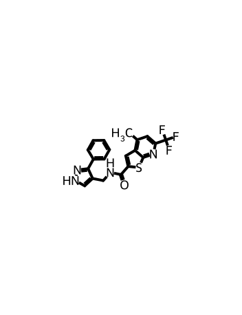 Cc1cc(C(F)(F)F)nc2sc(C(=O)NCc3c[nH]nc3-c3ccccc3)cc12